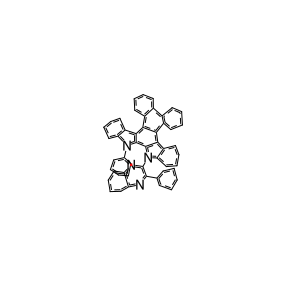 c1ccc(-c2nc3ccccc3nc2-n2c3ccccc3c3c4c5ccccc5c5ccccc5c4c4c5ccccc5n(-c5ccccc5)c4c32)cc1